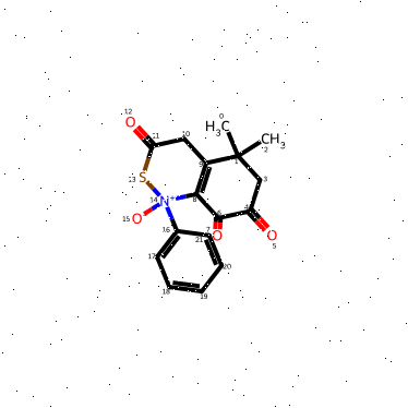 CC1(C)CC(=O)C(=O)C2=C1CC(=O)S[N+]2([O-])c1ccccc1